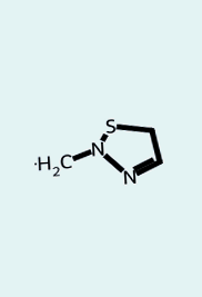 [CH2]N1N=CCS1